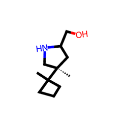 CC1([C@@]2(C)CNC(CO)C2)CCC1